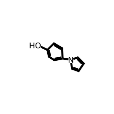 Oc1ccc(-n2cccc2)cc1